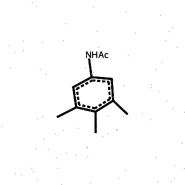 CC(=O)Nc1cc(C)c(C)c(C)c1